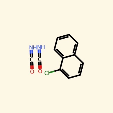 Clc1cccc2ccccc12.N=C=O.N=C=O